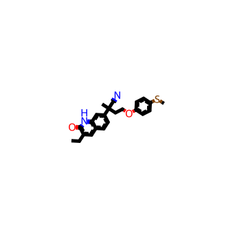 CCc1cc2ccc(C(C)(C#N)CCOc3ccc(SC)cc3)cc2[nH]c1=O